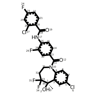 C[C@@]1(O)c2cc(Cl)ccc2N(C(=O)c2ccc(NC(=O)c3ccc(F)cc3Cl)c(F)c2)CCC1(F)F